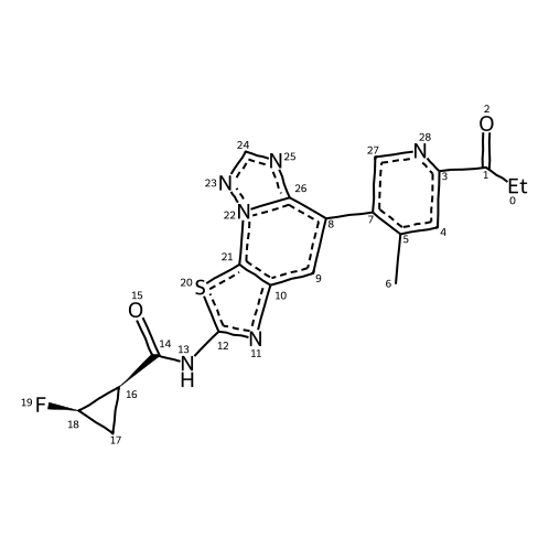 CCC(=O)c1cc(C)c(-c2cc3nc(NC(=O)[C@H]4C[C@H]4F)sc3n3ncnc23)cn1